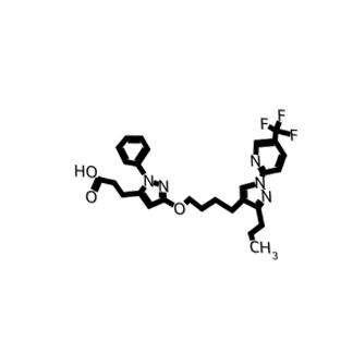 CCCc1nn(-c2ccc(C(F)(F)F)cn2)cc1CCCCOc1cc(CCC(=O)O)n(-c2ccccc2)n1